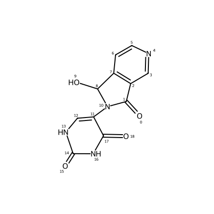 O=C1c2cnccc2C(O)N1c1c[nH]c(=O)[nH]c1=O